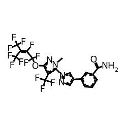 Cn1nc(OC(F)(F)C(F)=C(C(F)(F)F)C(F)(F)F)c(C(F)(F)F)c1-n1cc(-c2cccc(C(N)=O)c2)cn1